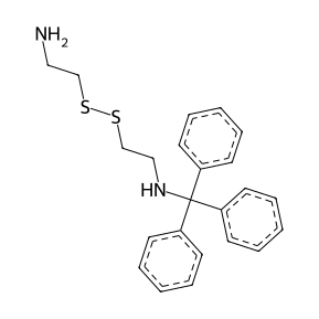 NCCSSCCNC(c1ccccc1)(c1ccccc1)c1ccccc1